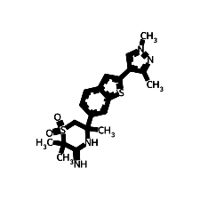 Cc1nn(C)cc1-c1cc2ccc(C3(C)CS(=O)(=O)C(C)(C)C(=N)N3)cc2s1